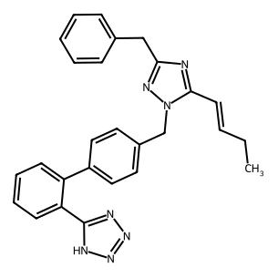 CC/C=C/c1nc(Cc2ccccc2)nn1Cc1ccc(-c2ccccc2-c2nnn[nH]2)cc1